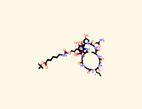 CC[C@H](C)[C@@H]1NC(=O)CNC(=O)C2Cc3c([nH]c4cc(O)ccc34)SCC(NC(=O)CNC1=O)C(=O)N[C@@H](CC(N)=O)C(=O)N1C[C@H](O)C[C@H]1C(=O)N[C@@H]([C@@H](C)[C@@H](O)COC(=O)NCCCCCC(=O)OC(C)(C)C)C(=O)N2